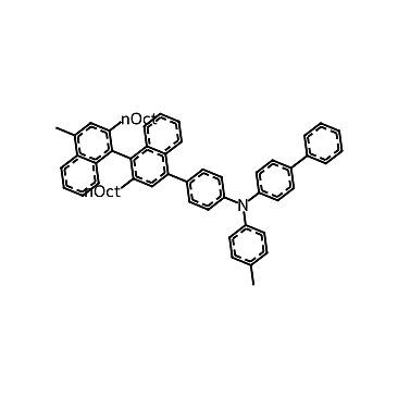 CCCCCCCCc1cc(C)c2ccccc2c1-c1c(CCCCCCCC)cc(-c2ccc(N(c3ccc(C)cc3)c3ccc(-c4ccccc4)cc3)cc2)c2ccccc12